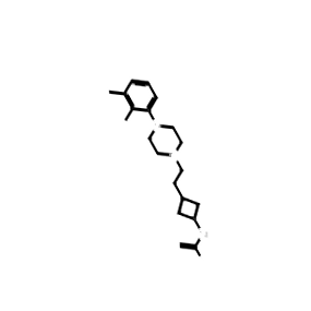 C=C(CC)NC1CC(CCN2CCN(c3cccc(C)c3C)CC2)C1